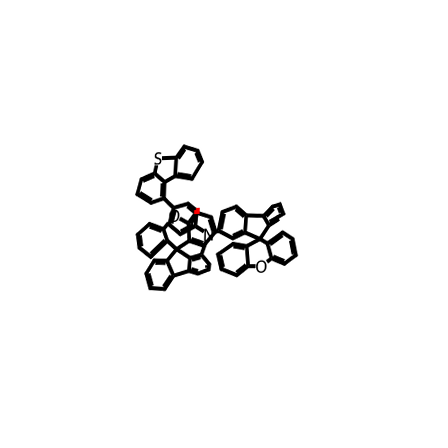 c1ccc2c(c1)Oc1ccccc1C21c2ccccc2-c2ccc(N(c3ccc(-c4cccc5sc6ccccc6c45)cc3)c3cccc4c3C3(c5ccccc5Oc5ccccc53)c3ccccc3-4)cc21